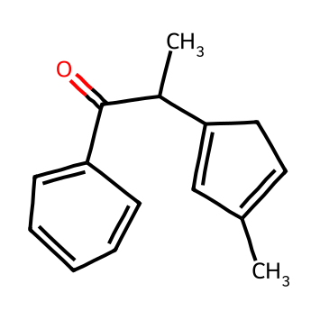 CC1=CCC(C(C)C(=O)c2ccccc2)=C1